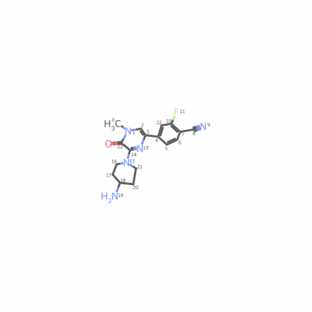 Cn1cc(-c2ccc(C#N)c(F)c2)nc(N2CCC(N)CC2)c1=O